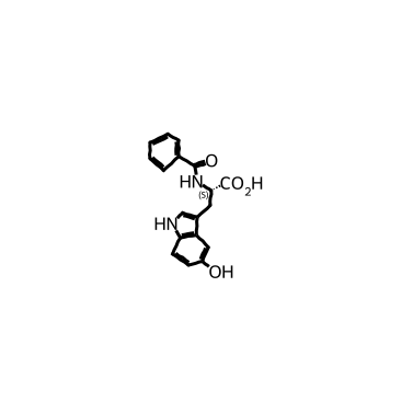 O=C(N[C@@H](Cc1c[nH]c2ccc(O)cc12)C(=O)O)c1ccccc1